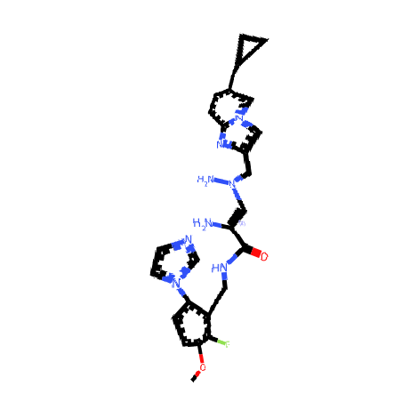 COc1ccc(-n2ccnc2)c(CNC(=O)/C(N)=C/N(N)Cc2cn3cc(C4CC4)ccc3n2)c1F